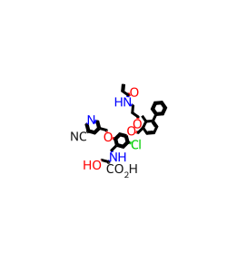 C=CC(=O)NCCCOC1(COc2cc(OCc3cncc(C#N)c3)c(CNC(CO)C(=O)O)cc2Cl)C=CC=C(c2ccccc2)C1C